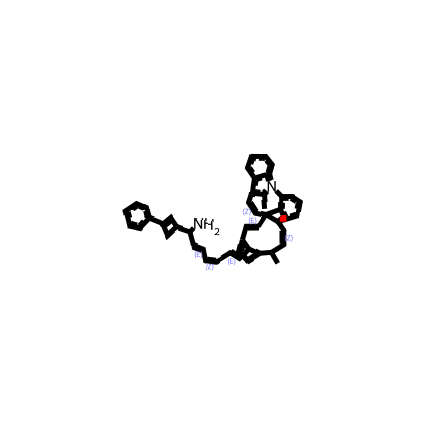 C=C1/C=C\C(C)C2=CC=C(/C=C/C13/C=C\c1c(C)n(c4ccccc14)-c1ccccc13)C2/C=C/C=C\C=C\C(N)C1C=C(c2ccccc2)C1